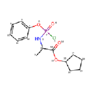 CC(NP(=O)(Cl)Oc1ccccc1)C(=O)OC1CCCC1